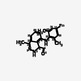 CC1=NNC(C=O)c2c(Nc3c(C)cc(F)cc3C)cccc21